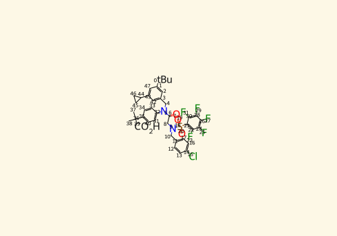 CC(C)(C)c1cc(CN(C(=O)CN(Cc2ccc(Cl)cc2)S(=O)(=O)c2c(F)c(F)c(F)c(F)c2F)c2ccc(C(C)(C)C(=O)O)cc2)cc(C2CC2)c1